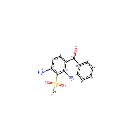 CC(C)S(=O)(=O)c1c(N)ccc(C(=O)c2ccccc2)c1N